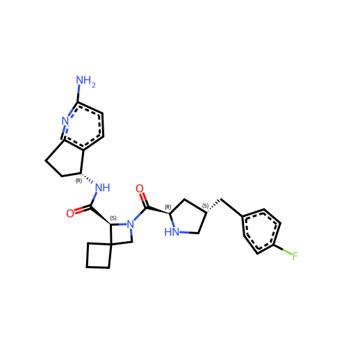 Nc1ccc2c(n1)CC[C@H]2NC(=O)[C@H]1N(C(=O)[C@H]2C[C@H](Cc3ccc(F)cc3)CN2)CC12CCC2